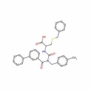 Cc1ccc(CN(C(=O)NC(CSCc2ccccc2)C(=O)O)C(=O)c2cccc(-c3ccccc3)c2)cc1